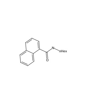 CCCCCC[N]C(=O)c1cccc2ccccc12